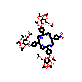 CC(=O)OC[C@H]1O[C@@H](Oc2ccc(-c3c4nc(c(-c5ccc(O[C@@H]6O[C@H](COC(C)=O)[C@@H](OC(C)=O)[C@H](OC(C)=O)[C@H]6OC(C)=O)cc5)c5ccc([nH]5)c(-c5ccc([N+](=O)[O-])cc5)c5nc(c(-c6ccc(O[C@@H]7O[C@H](COC(C)=O)[C@@H](OC(C)=O)[C@H](OC(C)=O)[C@H]7OC(C)=O)cc6)c6ccc3[nH]6)C=C5)C=C4)cc2)[C@H](OC(C)=O)[C@@H](OC(C)=O)[C@@H]1OC(C)=O